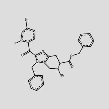 CC(C)N1Cc2c(nc(C(=O)c3ccc(Br)cc3F)n2Cc2ccccc2)CC1C(=O)OCc1ccccc1